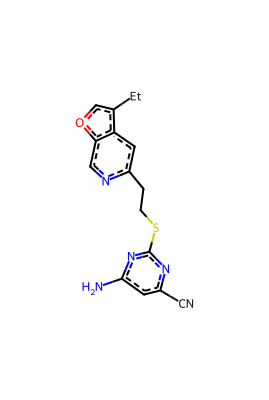 CCc1coc2cnc(CCSc3nc(N)cc(C#N)n3)cc12